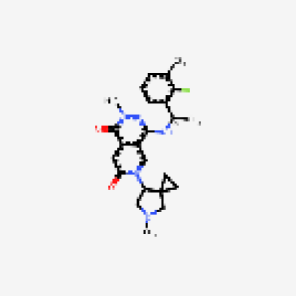 C[C@@H](Nc1nn(C)c(=O)c2cc(=O)n(C3CN(C)CC34CC4)cc12)c1cccc(C(F)(F)F)c1F